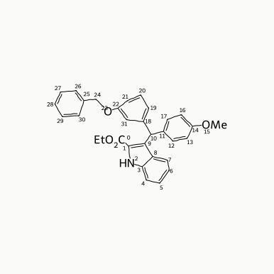 CCOC(=O)c1[nH]c2ccccc2c1C(c1ccc(OC)cc1)c1cccc(OCc2ccccc2)c1